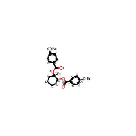 CC[C@]1(OC(=O)c2ccc(OCC(C)C)cc2)CCCC[C@@H]1OC(=O)c1ccc(OCC(C)C)cc1